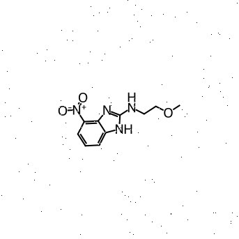 COCCNc1nc2c([N+](=O)[O-])cccc2[nH]1